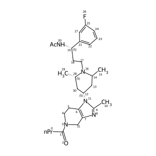 CCCC(=O)N1CCc2c(nc(C)n2[C@H]2CC(C)N(CC[C@H](NC(C)=O)c3cccc(F)c3)[C@@H](C)C2)C1